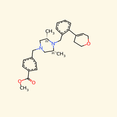 COC(=O)c1ccc(CN2C[C@@H](C)N(Cc3ccccc3C3=CCOCC3)[C@@H](C)C2)cc1